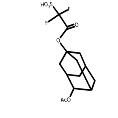 CC(=O)OC1C2CC3CC1CC(OC(=O)C(F)(F)S(=O)(=O)O)(C3)C2